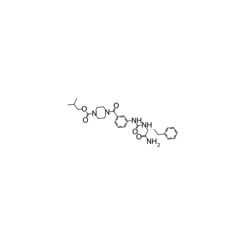 CC(C)COC(=O)N1CCN(C(=O)c2cccc(NC(=O)N[C@H](CCc3ccccc3)C(N)=O)c2)CC1